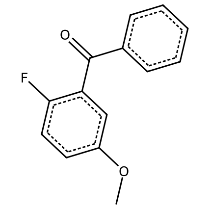 COc1ccc(F)c(C(=O)c2ccccc2)c1